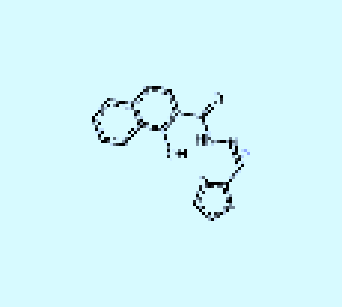 O=C(N/N=C\c1ccco1)c1ccc2ccccc2c1O